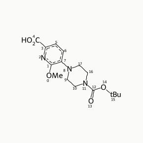 COc1nc(C(=O)O)ccc1N1CCN(C(=O)OC(C)(C)C)CC1